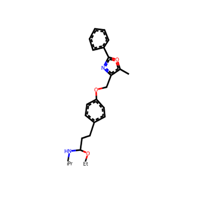 CCOC(CCc1ccc(OCc2nc(-c3ccccc3)oc2C)cc1)NC(C)C